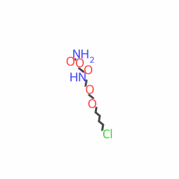 NC(=O)OCC(=O)NCCOCCOCCCCCCCl